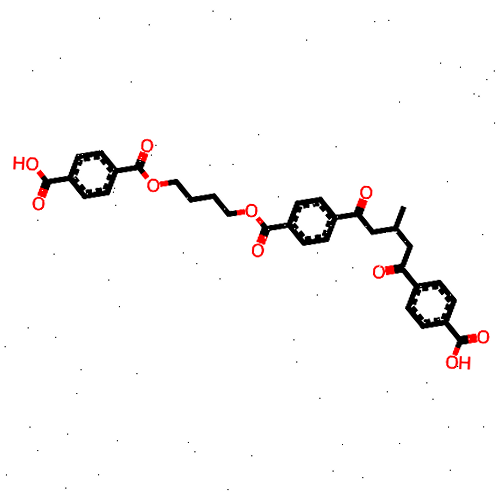 CC(CC(=O)c1ccc(C(=O)O)cc1)CC(=O)c1ccc(C(=O)OCCCCOC(=O)c2ccc(C(=O)O)cc2)cc1